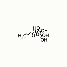 CCCCC(=O)O[C@@H]1O[C@H](C(O)CO)[C@@H](O)[C@@H]1O